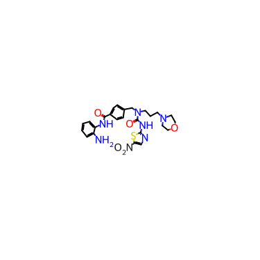 Nc1ccccc1NC(=O)c1ccc(CN(CCCN2CCOCC2)C(=O)Nc2ncc([N+](=O)[O-])s2)cc1